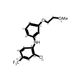 COCCOc1[c]c(Nc2ccc(C(F)(F)F)cc2Cl)ccc1